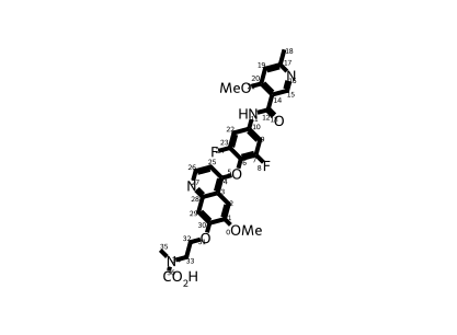 COc1cc2c(Oc3c(F)cc(NC(=O)c4cnc(C)cc4OC)cc3F)ccnc2cc1OCCN(C)C(=O)O